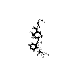 CCOC(=O)c1cnc(Nc2ccccc2OC(C)C)[nH]c1=O